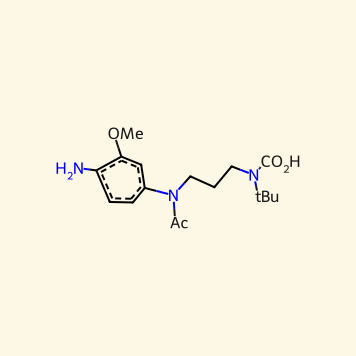 COc1cc(N(CCCN(C(=O)O)C(C)(C)C)C(C)=O)ccc1N